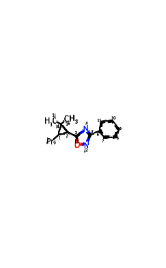 CC(C)C1C(c2nc(-c3ccccc3)no2)C1(C)C